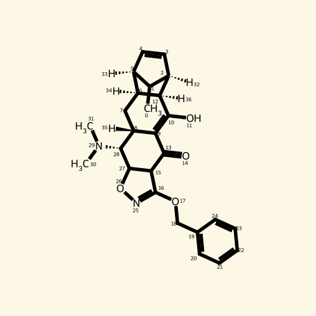 CC1[C@H]2C=C[C@@H]1[C@@H]1C[C@@H]3C(=C(O)[C@@H]12)C(=O)C1C(OCc2ccccc2)=NOC1[C@@H]3N(C)C